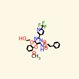 COc1ccccc1Oc1c(NS(=O)(=O)/C=C/c2ccccc2)nc(-c2ccc(C(F)(F)F)nc2)nc1OCCO